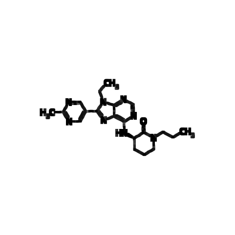 CCCN1CCC[C@@H](Nc2ncnc3c2nc(-c2cnc(C)nc2)n3CC)C1=O